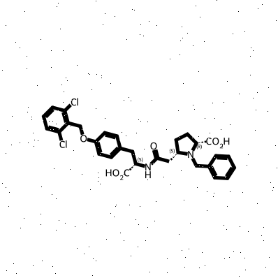 O=C(C[C@@H]1CC[C@H](C(=O)O)N1Cc1ccccc1)N[C@@H](Cc1ccc(OCc2c(Cl)cccc2Cl)cc1)C(=O)O